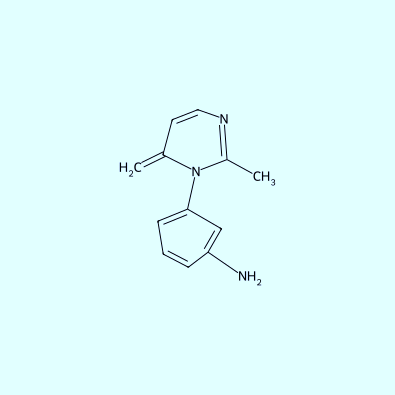 C=C1C=CN=C(C)N1c1cccc(N)c1